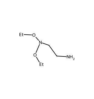 CCON(CCN)OCC